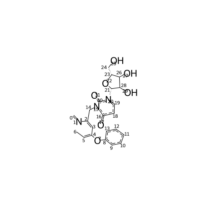 C=N/C(=C\C(=C/C)Oc1ccccc1)Cn1c(=O)ccn([C@@H]2O[C@H](CO)C(O)C2O)c1=O